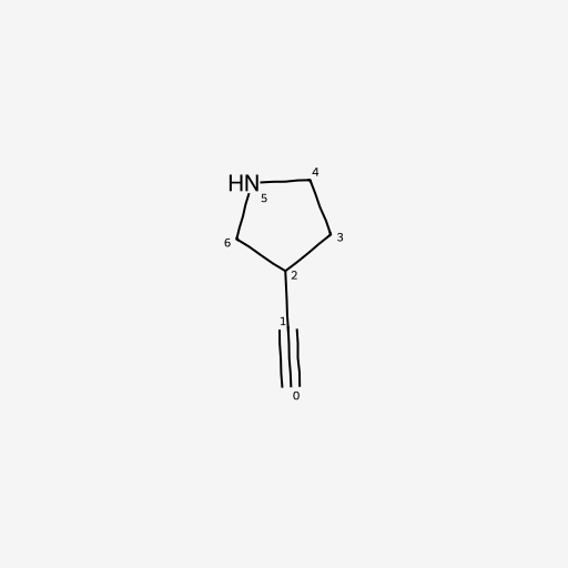 C#CC1CCNC1